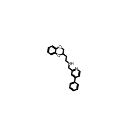 c1ccc(-c2ccnc(CNCCC3COc4ccccc4O3)c2)cc1